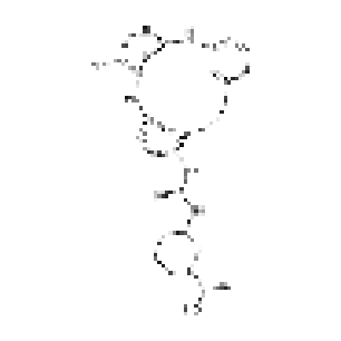 O=C(Nc1ccc2cc1CCc1cccc(c1)Nc1ncc(Cl)c(n1)N2)NC1CCCN(C(=O)O)C1